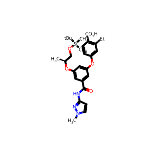 CCc1cc(Oc2cc(O[C@@H](C)CO[Si](C)(C)C(C)(C)C)cc(C(=O)Nc3ccn(C)n3)c2)ccc1C(=O)O